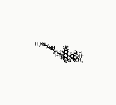 COc1cc(C2c3cc4c(cc3[C@@H](NC(=O)CNCCCNCCCCN)[C@H]3COC(=O)[C@@H]23)OCO4)cc(OC)c1O